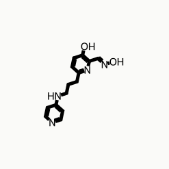 ON=Cc1nc(CCCNc2ccncc2)ccc1O